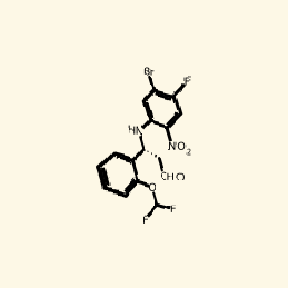 O=CC[C@@H](Nc1cc(Br)c(F)cc1[N+](=O)[O-])c1ccccc1OC(F)F